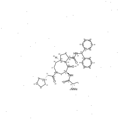 CN[C@@H](C)C(=O)N[C@H]1CN(C(=O)C[C@@H]2CCOC2)CC[C@H]2CC[C@@H](C(=O)NC(c3ccccc3)c3ccccc3)N2C1=O